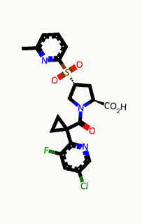 Cc1cccc(S(=O)(=O)[C@@H]2C[C@@H](C(=O)O)N(C(=O)C3(c4ncc(Cl)cc4F)CC3)C2)n1